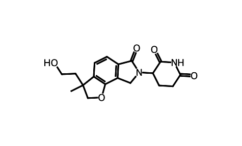 CC1(CCO)COc2c1ccc1c2CN(C2CCC(=O)NC2=O)C1=O